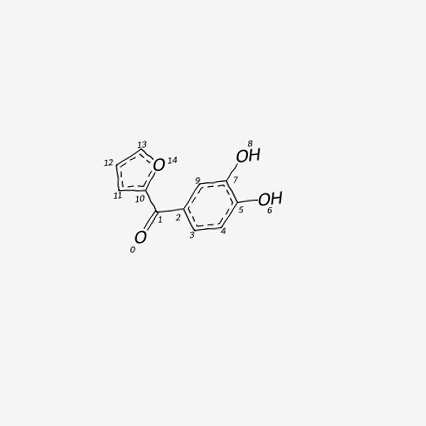 O=C(c1ccc(O)c(O)c1)c1ccco1